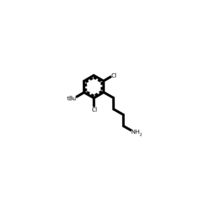 CC(C)(C)c1ccc(Cl)c(CCCCN)c1Cl